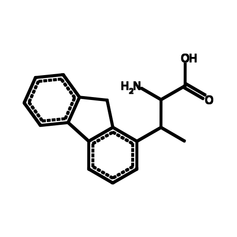 CC(c1cccc2c1Cc1ccccc1-2)C(N)C(=O)O